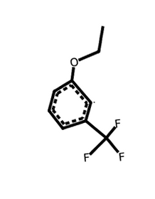 CCOc1[c]c(C(F)(F)F)ccc1